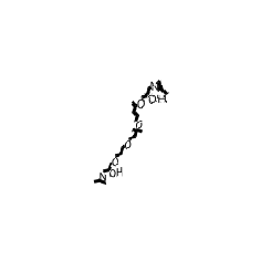 CC(CCCOC(C)(C)CCOCCCOCC(O)CN1CC1C)OCC(O)CN1CC1C